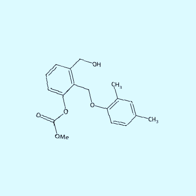 COC(=O)Oc1cccc(CO)c1COc1ccc(C)cc1C